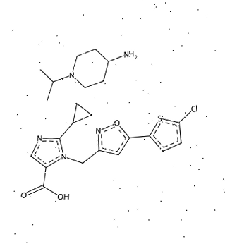 CC(C)N1CCC(N)CC1.O=C(O)c1cnc(C2CC2)n1Cc1cc(-c2ccc(Cl)s2)on1